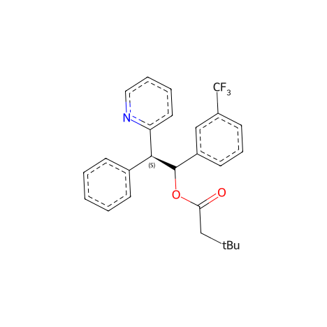 CC(C)(C)CC(=O)OC(c1cccc(C(F)(F)F)c1)[C@@H](c1ccccc1)c1ccccn1